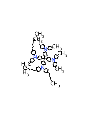 CCCCCCc1ccc(N(c2ccc(C)cc2)c2ccc(C(c3ccc(N(c4ccc(C)cc4)c4ccc(C)cc4)cc3)(c3ccc(N(c4ccc(C)cc4)c4ccc(CCCCCC)cc4)cc3)c3ccc(N(c4ccc(CCCCCC)cc4)c4ccc(CCCCCC)cc4)cc3)cc2)cc1